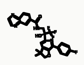 CC1(C)COc2c1cc([C@@](O)(CNC(=O)c1ccc3nccnc3c1)C(F)(F)F)nc2-c1ccc(F)cc1